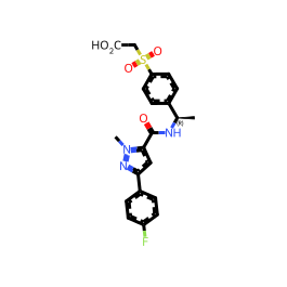 C[C@@H](NC(=O)c1cc(-c2ccc(F)cc2)nn1C)c1ccc(S(=O)(=O)CC(=O)O)cc1